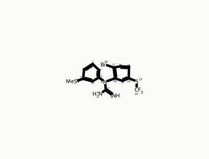 CSc1cccc(N(C(=N)N)c2cc(SC(F)(F)F)ccc2Br)c1